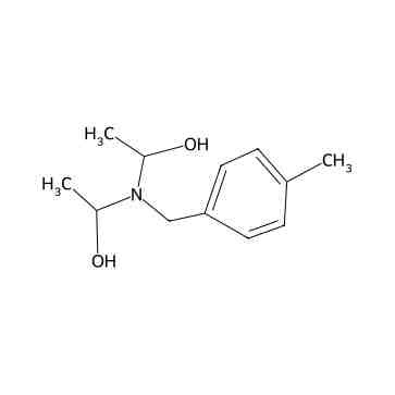 Cc1ccc(CN(C(C)O)C(C)O)cc1